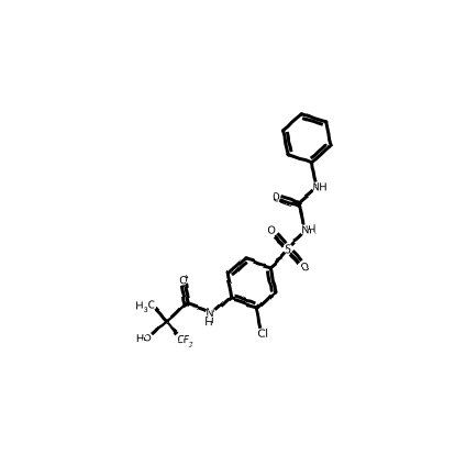 C[C@@](O)(C(=O)Nc1ccc(S(=O)(=O)NC(=O)Nc2ccccc2)cc1Cl)C(F)(F)F